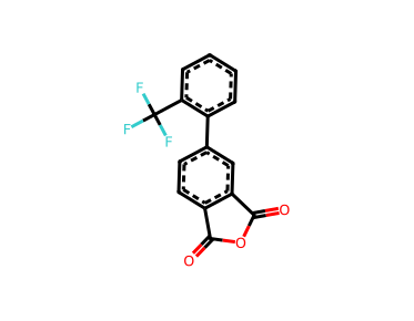 O=C1OC(=O)c2cc(-c3ccccc3C(F)(F)F)ccc21